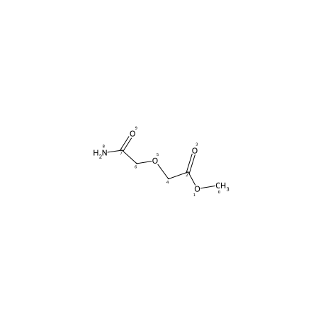 COC(=O)COCC(N)=O